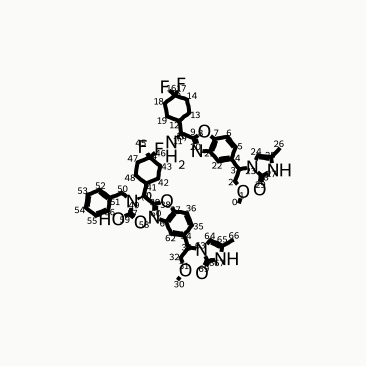 COCC(c1ccc2oc([C@@H](N)C3CCC(F)(F)CC3)nc2c1)n1cc(C)[nH]c1=O.COCC(c1ccc2oc([C@H](C3CCC(F)(F)CC3)N(Cc3ccccc3)C(=O)O)nc2c1)n1cc(C)[nH]c1=O